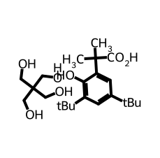 CC(C)(C)c1cc(C(C)(C)C)c(O)c(C(C)(C)C(=O)O)c1.OCC(CO)(CO)CO